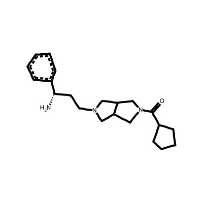 N[C@@H](CCN1CC2CN(C(=O)C3CCCC3)CC2C1)c1ccccc1